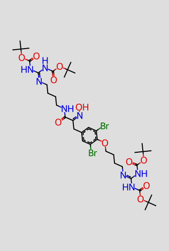 CC(C)(C)OC(=O)NC(=NCCCCNC(=O)C(Cc1cc(Br)c(OCCCCN=C(NC(=O)OC(C)(C)C)NC(=O)OC(C)(C)C)c(Br)c1)=NO)NC(=O)OC(C)(C)C